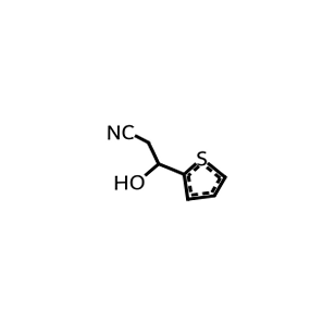 N#CCC(O)c1cccs1